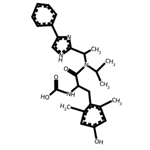 Cc1cc(O)cc(C)c1CC(NC(=O)O)C(=O)N(C(C)C)C(C)c1nc(-c2ccccc2)c[nH]1